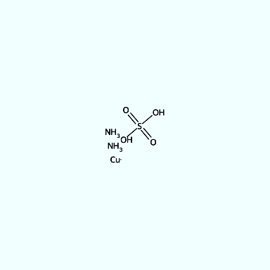 N.N.O=S(=O)(O)O.[Cu]